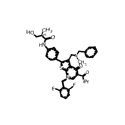 CC(C)C(=O)c1cn(Cc2c(F)cccc2F)c2sc(-c3ccc(NC(=O)[C@H](C)CO)cc3)c(CN(C)Cc3ccccc3)c2c1=O